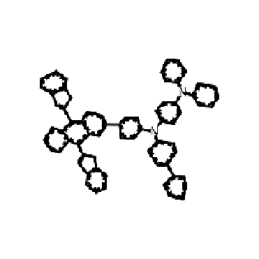 C1=C(c2c3ccccc3c(C3=Cc4ccccc4C3)c3cc(-c4ccc(N(c5ccc(-c6ccccc6)cc5)c5ccc(N(c6ccccc6)c6ccccc6)cc5)cc4)ccc23)Cc2ccccc21